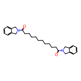 O=C(CCCCCCCCCCC(=O)N1Cc2ccccc2C1)N1Cc2ccccc2C1